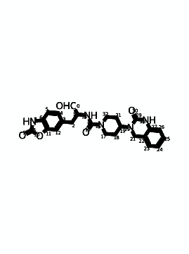 O=CC(Cc1ccc2[nH]c(=O)oc2c1)NC(=O)N1CCC(N2Cc3ccccc3NC2=O)CC1